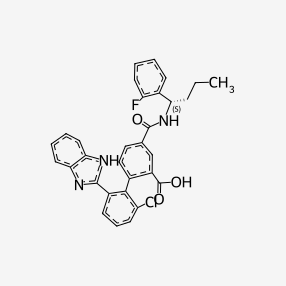 CCC[C@H](NC(=O)c1ccc(-c2c(Cl)cccc2-c2nc3ccccc3[nH]2)c(C(=O)O)c1)c1ccccc1F